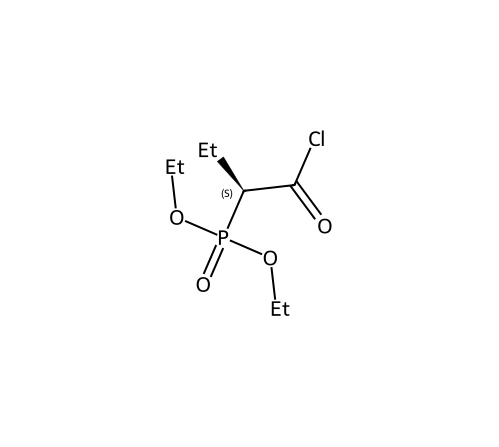 CCOP(=O)(OCC)[C@@H](CC)C(=O)Cl